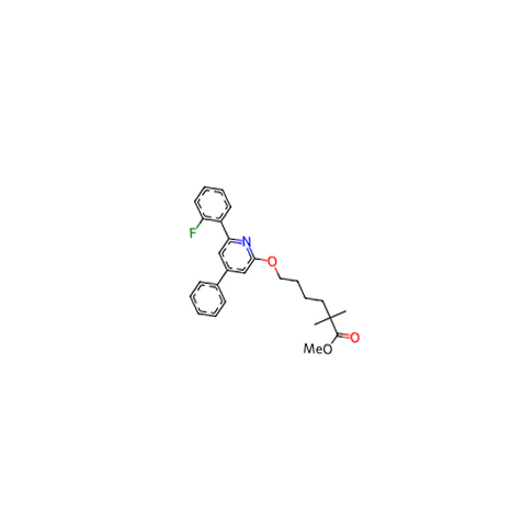 COC(=O)C(C)(C)CCCCOc1cc(-c2ccccc2)cc(-c2ccccc2F)n1